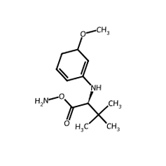 COC1C=C(N[C@H](C(=O)ON)C(C)(C)C)C=CC1